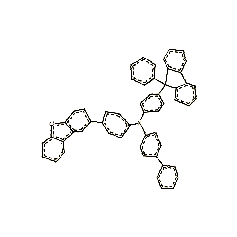 c1ccc(-c2ccc(N(c3ccc(-c4ccc5oc6ccccc6c5c4)cc3)c3ccc(C4(c5ccccc5)c5ccccc5-c5ccccc54)cc3)cc2)cc1